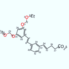 CCOCOc1cc(C=Cc2cccc(C=CCCC(=O)O)c2)cc(OCOCC)c1